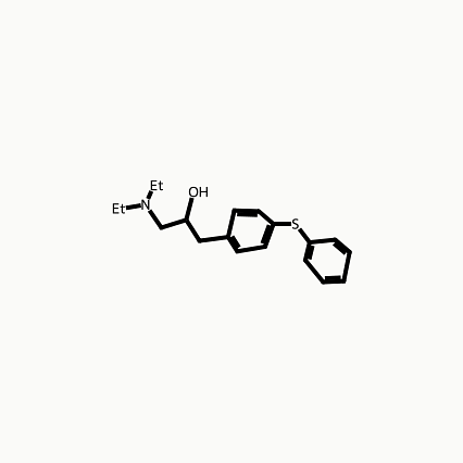 CCN(CC)CC(O)Cc1ccc(Sc2ccccc2)cc1